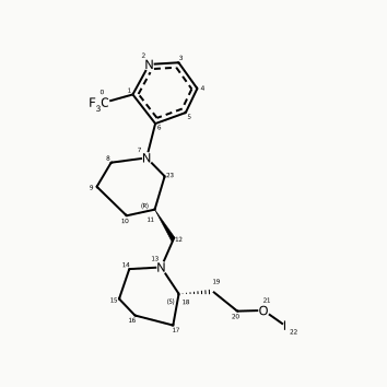 FC(F)(F)c1ncccc1N1CCC[C@H](CN2CCCC[C@H]2CCOI)C1